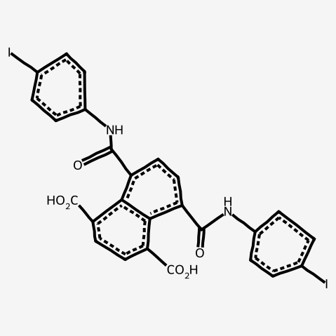 O=C(O)c1ccc(C(=O)O)c2c(C(=O)Nc3ccc(I)cc3)ccc(C(=O)Nc3ccc(I)cc3)c12